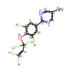 CCCc1cnc(-c2cc(F)c(OC(F)(F)C=C(F)F)c(F)c2)nc1